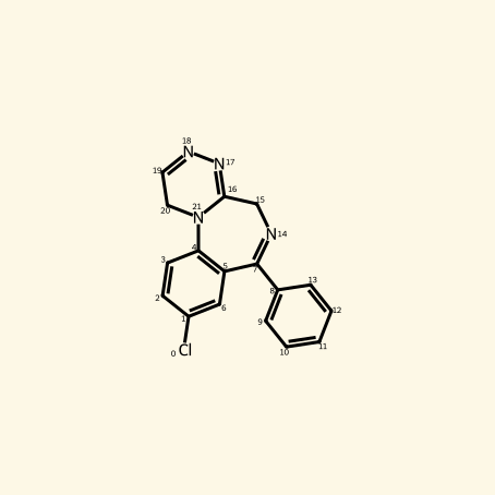 Clc1ccc2c(c1)C(c1ccccc1)=NCC1=NN=CCN12